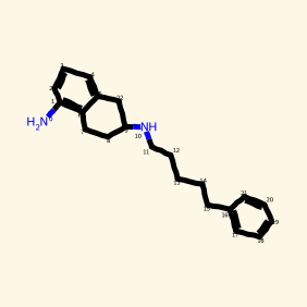 Nc1cccc2c1CCC(NCCCCCc1ccccc1)C2